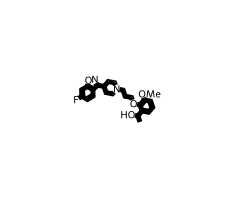 COc1cccc(C(C)O)c1OCCCN1CCC(c2noc3cc(F)ccc23)CC1